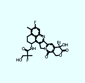 CC[C@@]1(O)C(=O)OCc2c1cc1n(c2=O)Cc2c-1nc1cc(F)c(C)c3c1c2[C@@H](NC(=O)C(C)(F)CO)CC3